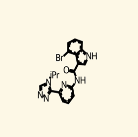 CC(C)n1cnnc1-c1cccc(NC(=O)c2c[nH]c3cccc(Br)c23)n1